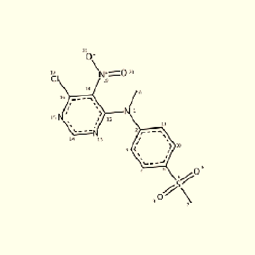 CN(c1ccc(S(C)(=O)=O)cc1)c1ncnc(Cl)c1[N+](=O)[O-]